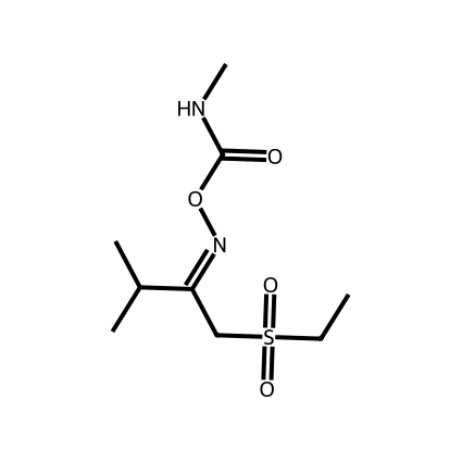 CCS(=O)(=O)CC(=NOC(=O)NC)C(C)C